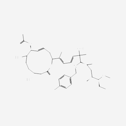 CC[C@H](OC)[C@@H](C)[C@H]1O[C@@H]1C(NCc1ccc(Cl)cc1)C(C)(O)/C=C/C=C(\C)C1OC(=O)C[C@H](O)CC[C@@](C)(O)[C@@H](OC(C)=O)/C=C/[C@@H]1C